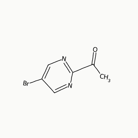 CC(=O)c1ncc(Br)cn1